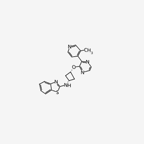 Cc1cnccc1-c1nccnc1O[C@H]1C[C@@H](Nc2nc3ccccc3s2)C1